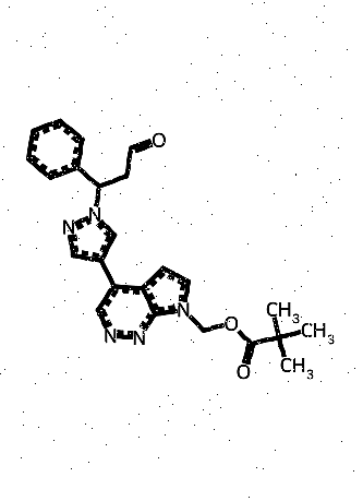 CC(C)(C)C(=O)OCn1ccc2c(-c3cnn(C(CC=O)c4ccccc4)c3)cnnc21